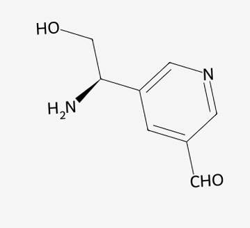 N[C@@H](CO)c1cncc(C=O)c1